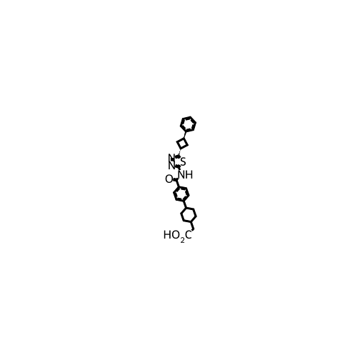 O=C(O)CC1CCC(c2ccc(C(=O)Nc3nnc([C@H]4C[C@H](c5ccccc5)C4)s3)cc2)CC1